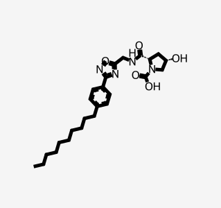 CCCCCCCCCCc1ccc(-c2noc(CNC(=O)[C@@H]3C[C@H](O)CN3C(=O)O)n2)cc1